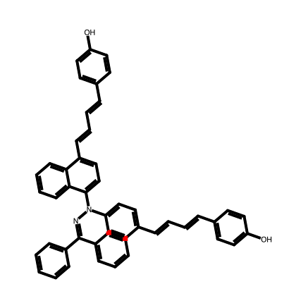 Oc1ccc(/C=C/C=C/c2ccc(N(N=C(c3ccccc3)c3ccccc3)c3ccc(/C=C/C=C/c4ccc(O)cc4)c4ccccc34)cc2)cc1